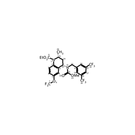 CCOC(=O)N1c2ccc(OC(F)(F)F)cc2[C@@H](N(Cc2cc(C(F)(F)F)cc(C(F)(F)F)c2)C(=O)OC)C[C@H]1C